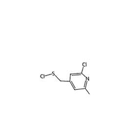 Cc1cc(CSCl)cc(Cl)n1